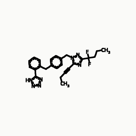 CCC#Cc1nc(C(F)(F)CCC)nn1Cc1ccc(Cc2ccccc2-c2nnn[nH]2)cc1